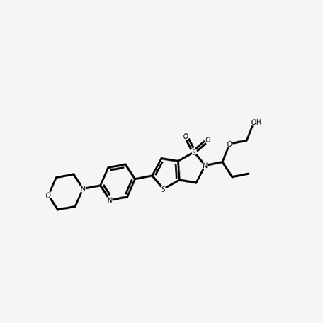 CCC(OCO)N1Cc2sc(-c3ccc(N4CCOCC4)nc3)cc2S1(=O)=O